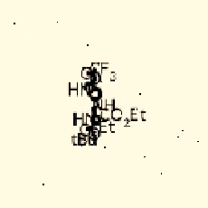 CCOC(=O)c1c(CNc2ccc3c(OC(=O)C(F)(F)F)c[nH]c3c2)[nH]c(C(=O)OC(C)(C)C)c1CC